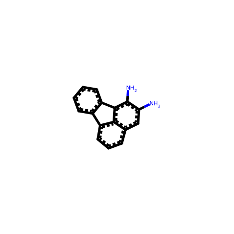 Nc1cc2cccc3c2c(c1N)-c1ccccc1-3